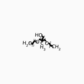 C=CCOCC(C)(CO)COCC=C